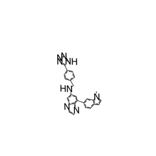 Cn1ccc2ccc(-c3cc(NCc4ccc(-c5nnn[nH]5)cc4)cc4nccnc34)cc21